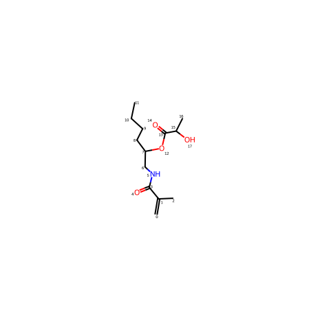 C=C(C)C(=O)NCC(CCCC)OC(=O)C(C)O